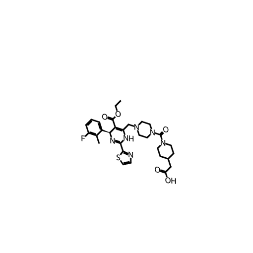 CCOC(=O)C1=C(CN2CCN(C(=O)N3CCC(CC(=O)O)CC3)CC2)NC(c2nccs2)=N[C@H]1c1cccc(F)c1C